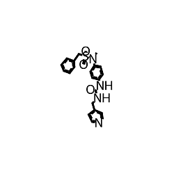 CN(c1ccc(NC(=O)NCc2ccncc2)cc1)S(=O)(=O)Cc1ccccc1